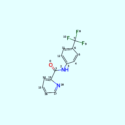 O=C(Nc1ccc(C(F)(F)F)cc1)c1ccccn1